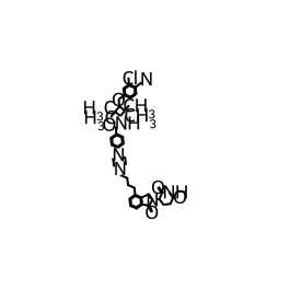 CC1(C)C(NC(=O)c2ccc(N3CCN(CCCCc4cccc5c4CN(C4CCC(=O)NC4=O)C5=O)CC3)cc2)C(C)(C)C1Oc1ccc(C#N)c(Cl)c1